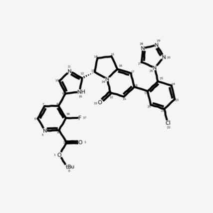 CC(C)(C)OC(=O)c1nccc(-c2cnc([C@@H]3CCc4cc(-c5cc(Cl)ccc5-n5cnnn5)cc(=O)n43)[nH]2)c1F